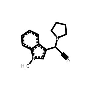 Cn1cc(C(C#N)N2CCCC2)c2ccccc21